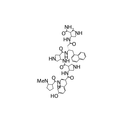 CNC1CCCC1C(=O)NC[C@H](Cc1ccc(O)cc1)C(=O)NC1CNCC1C(=O)NC1CNCC1C(=O)N[C@H](CC(=O)NC1CNCC1C(N)=O)Cc1cccc2ccccc12